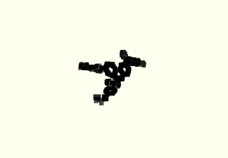 COC(=O)c1ccc(CN(C(=O)Oc2ccc(N)cc2)c2cccc(OC)c2)cc1